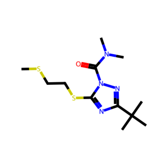 CSCCSc1nc(C(C)(C)C)nn1C(=O)N(C)C